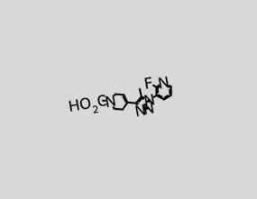 Cc1c(C2=CCN(C(=O)O)CC2)nnn1-c1cccnc1F